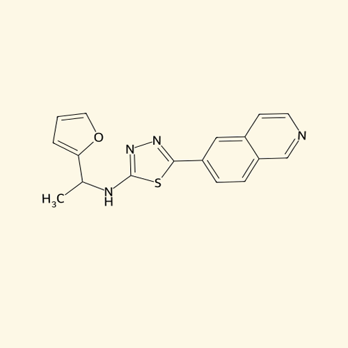 CC(Nc1nnc(-c2ccc3cnccc3c2)s1)c1ccco1